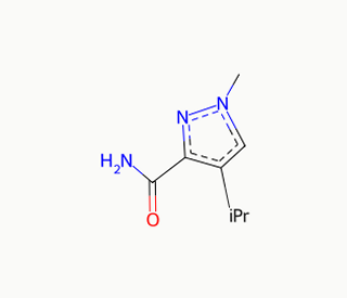 CC(C)c1cn(C)nc1C(N)=O